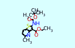 CCOC(=O)c1c(NC(=O)OC(C)(C)C)sc2ccc(C)nc12